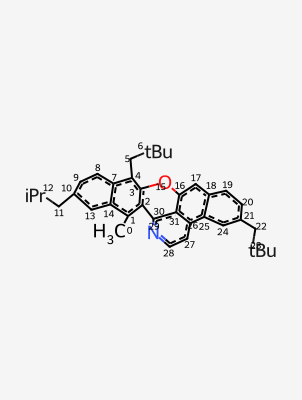 Cc1c2c(c(CC(C)(C)C)c3ccc(CC(C)C)cc13)Oc1cc3ccc(CC(C)(C)C)cc3c3ccnc-2c13